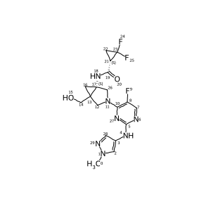 Cn1cc(Nc2ncc(F)c(N3CC4(CO)C[C@@]4(NC(=O)[C@@H]4CC4(F)F)C3)n2)cn1